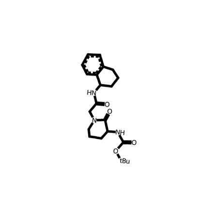 CC(C)(C)OC(=O)NC1CCCN(CC(=O)NC2CCCc3ccccc32)C1=O